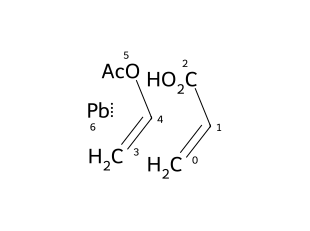 C=CC(=O)O.C=COC(C)=O.[Pb]